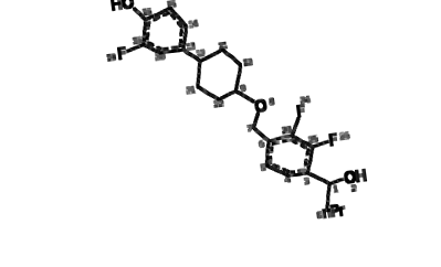 CCCC(O)c1ccc(COC2CCC(c3ccc(O)c(F)c3)CC2)c(F)c1F